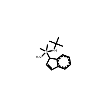 CC(C)(C)[NH][Ti]([CH3])([CH3])([SiH3])[CH]1C=Cc2ccccc21